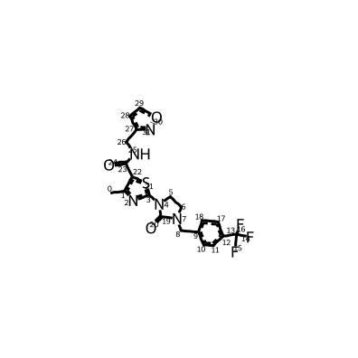 Cc1nc(N2CCN(Cc3ccc(C(F)(F)F)cc3)C2=O)sc1C(=O)NCc1ccon1